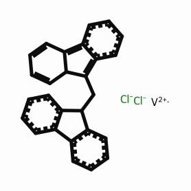 C1=CC2=c3ccccc3=C(CC3c4ccccc4-c4ccccc43)C2C=C1.[Cl-].[Cl-].[V+2]